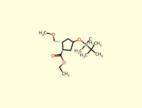 CCOC(=O)[C@@H]1CC(O[Si](C)(C)C(C)(C)C)C[C@H]1COC